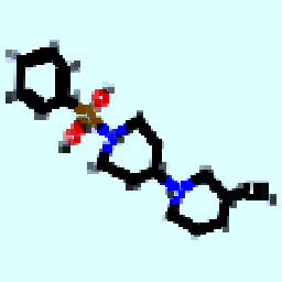 CC1CCCN(C2CCN(S(=O)(=O)c3ccccc3)CC2)C1